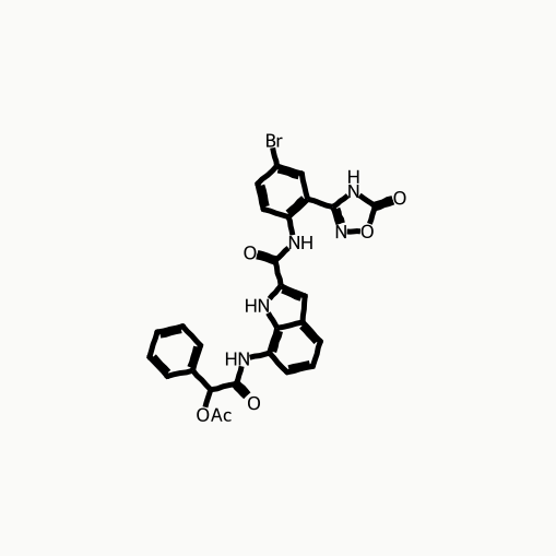 CC(=O)OC(C(=O)Nc1cccc2cc(C(=O)Nc3ccc(Br)cc3-c3noc(=O)[nH]3)[nH]c12)c1ccccc1